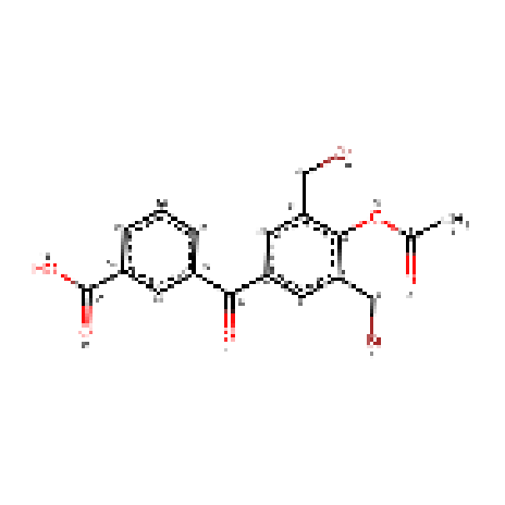 CC(=O)Oc1c(CBr)cc(C(=O)c2cccc(C(=O)O)c2)cc1CBr